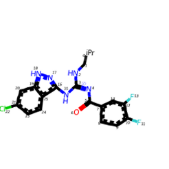 CC(C)CN/C(=N/C(=O)c1ccc(F)c(F)c1)Nc1n[nH]c2cc(Cl)ccc12